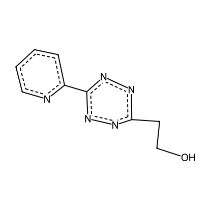 OCCc1nnc(-c2ccccn2)nn1